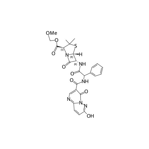 COCOC(=O)[C@@H]1N2C(=O)[C@@H](NC(=O)C(NC(=O)c3cnc4ccc(O)nn4c3=O)c3ccccc3)[C@H]2SC1(C)C